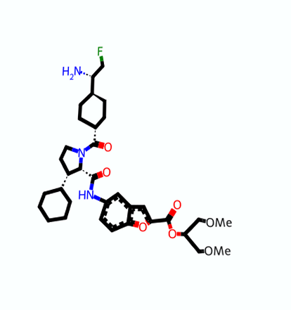 COCC(COC)OC(=O)c1cc2cc(NC(=O)[C@@H]3[C@H](C4CCCCC4)CCN3C(=O)[C@H]3CC[C@H]([C@H](N)CF)CC3)ccc2o1